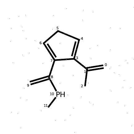 C=C(C)C1=CCC=C1C(=C)PC